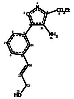 CCOC(=O)c1noc(-c2cccc(C=CCO)c2)c1N